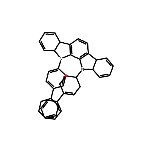 C1=CC2c3ccc4c(c3N(c3ccc(C5CC=CCC5)cc3)C2C=C1)N(C1CC=C(c2ccccc2)CC1)C1C=CC=CC41